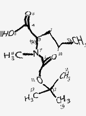 CCC[C@H](C(=O)O)N(C)C(=O)OC(C)(C)C